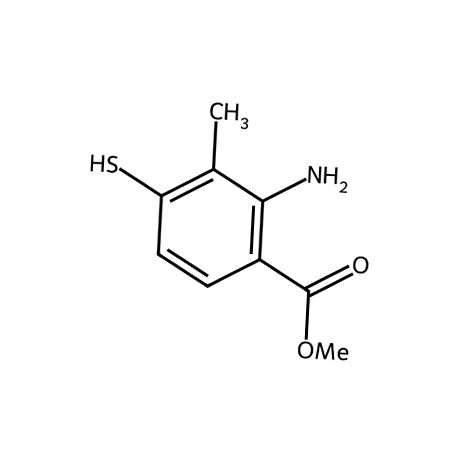 COC(=O)c1ccc(S)c(C)c1N